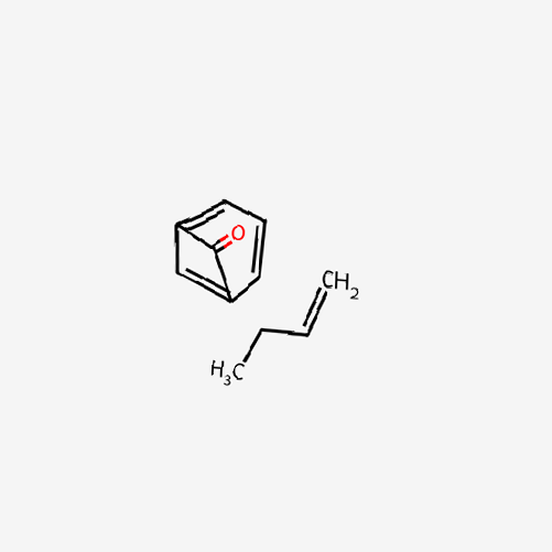 C=CCC.O=C1c2cccc1c2